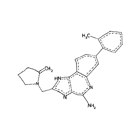 C=C1CCCN1Cc1nc2c(N)nc3cc(-c4ccccc4C)ccc3c2[nH]1